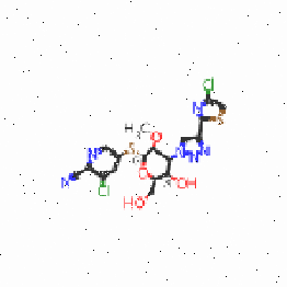 COC1C(n2cc(-c3nc(Cl)cs3)nn2)[C@@H](O)C(CO)O[C@@H]1Sc1cnc(C#N)c(Cl)c1